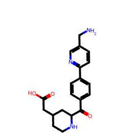 NCc1ccc(-c2ccc(C(=O)C3CC(CC(=O)O)CCN3)cc2)nc1